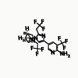 Nc1ncc(-c2cn([C@@]34C5[C@H]3[C@H]4CN5CC(F)(F)F)c(CC(F)(F)F)n2)cc1C(F)(F)F